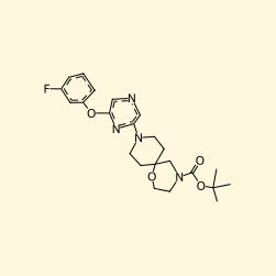 CC(C)(C)OC(=O)N1CCOC2(CCN(c3cncc(Oc4cccc(F)c4)n3)CC2)C1